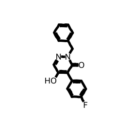 O=c1c(-c2ccc(F)cc2)c(O)cnn1Cc1ccccc1